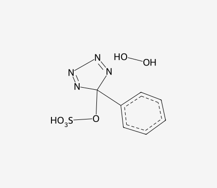 O=S(=O)(O)OC1(c2ccccc2)N=NN=N1.OO